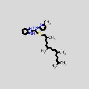 CC(C)=CCCC(C)=CCCC(C)=CCCC(C)=CCSCC(Nc1cccc(C)n1)c1nc2ccccc2[nH]1